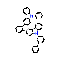 c1ccc(-c2cccc(-n3c4ccccc4c4cc(-c5ccccc5-c5ccc6c(c5)c5ccccc5n6-c5ccccc5)ccc43)c2)cc1